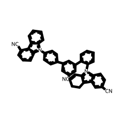 N#Cc1cc(-c2ccc(-n3c4ccccc4c4c(C#N)cccc43)cc2)cc(-c2ccccc2-n2c3c(c4cc(C#N)ccc42)CCC=C3)c1